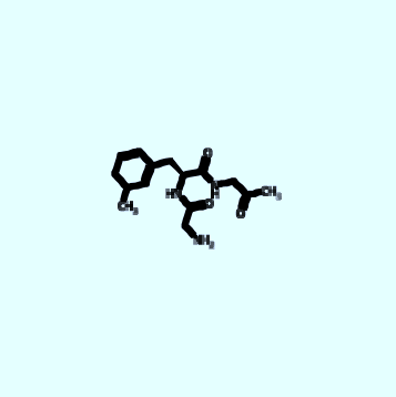 CC(=O)CNC(=O)[C@H](CC1=CC(C)CC=C1)NC(=O)CN